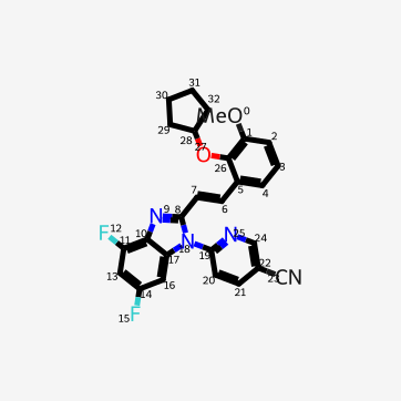 COc1cccc(/C=C/c2nc3c(F)cc(F)cc3n2-c2ccc(C#N)cn2)c1OC1CCCC1